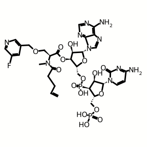 C=CCCC(=O)N(C)[C@@H](COCc1cncc(F)c1)C(=O)O[C@H]1[C@@H](O)[C@H](n2cnc3c(N)ncnc32)O[C@@H]1COP(=O)(O)[C@H]1[C@@H](O)[C@H](n2ccc(N)nc2=O)O[C@@H]1COP(=O)(O)O